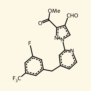 COC(=O)c1nn(-c2cc(Cc3cc(F)cc(C(F)(F)F)c3)ccn2)cc1C=O